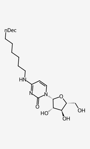 CCCCCCCCCCCCCCCCNc1ccn([C@@H]2O[C@H](CO)[C@@H](O)[C@@H]2O)c(=O)n1